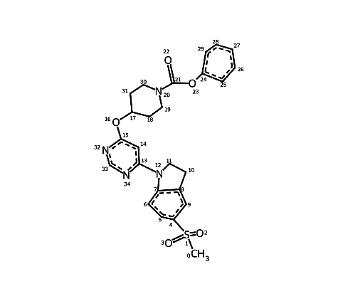 CS(=O)(=O)c1ccc2c(c1)CCN2c1cc(OC2CCN(C(=O)Oc3ccccc3)CC2)ncn1